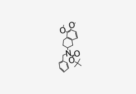 COc1ccc2c(c1OC)CCC(N(Cc1ccccc1)C(=O)OC(C)(C)C)C2